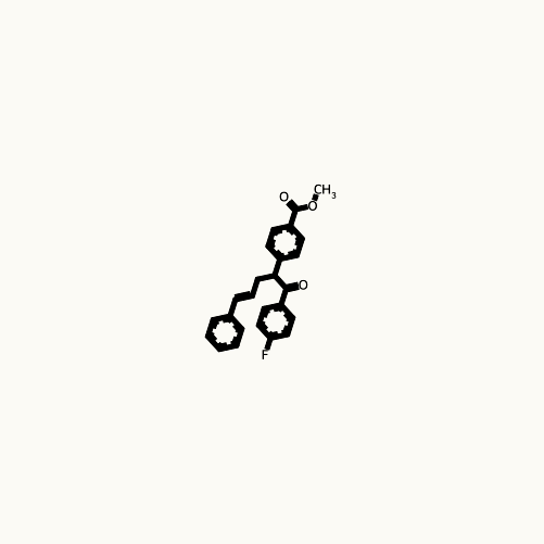 COC(=O)c1ccc(C(CC=Cc2ccccc2)C(=O)c2ccc(F)cc2)cc1